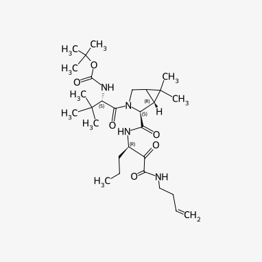 C=CCCNC(=O)C(=O)[C@@H](CCC)NC(=O)[C@@H]1[C@@H]2C(CN1C(=O)[C@@H](NC(=O)OC(C)(C)C)C(C)(C)C)C2(C)C